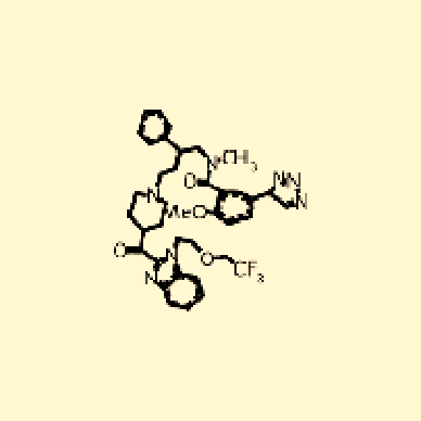 COc1ccc(C2C=NN=N2)cc1C(=O)N(C)CC(CCN1CCC(C(=O)c2nc3ccccc3n2CCOCC(F)(F)F)CC1)c1ccccc1